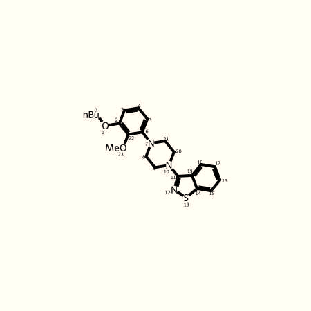 CCCCOc1[c]ccc(N2CCN(c3nsc4ccccc34)CC2)c1OC